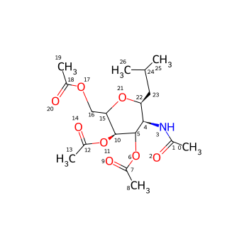 CC(=O)N[C@H]1C(OC(C)=O)[C@@H](OC(C)=O)C(COC(C)=O)O[C@H]1CC(C)C